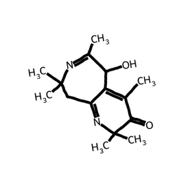 CC1=NC(C)(C)CC2=NC(C)(C)C(=O)C(C)=C2C1O